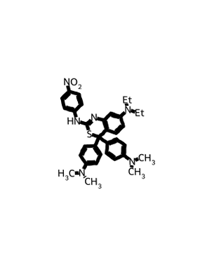 CCN(CC)c1ccc2c(c1)N=C(Nc1ccc([N+](=O)[O-])cc1)SC2(c1ccc(N(C)C)cc1)c1ccc(N(C)C)cc1